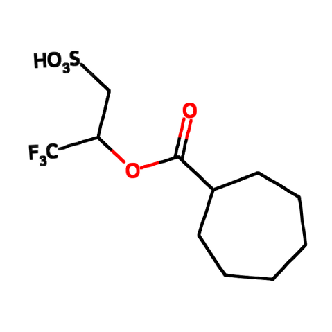 O=C(OC(CS(=O)(=O)O)C(F)(F)F)C1CCCCCC1